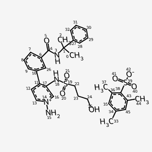 CC(C)(NC(=O)c1cccc(-c2cc[n+](N)cc2NS(=O)(=O)CCCO)c1)c1ccccc1.Cc1cc(C)c(S(=O)(=O)[O-])c(C)c1